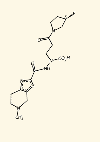 CN1CCc2nc(C(=O)NN(CCC(=O)N3CC[C@@H](F)C3)C(=O)O)sc2C1